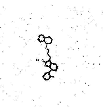 Cc1ccccc1-c1cccc2c(CCCOC3CCCc4ccccc43)c(C(=O)O)[nH]c12